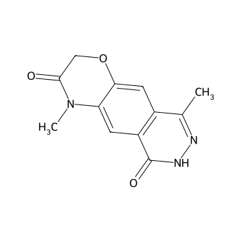 Cc1n[nH]c(=O)c2cc3c(cc12)OCC(=O)N3C